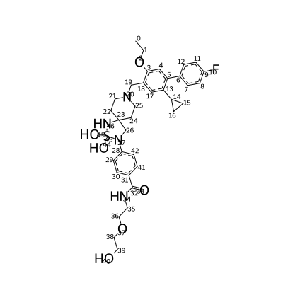 CCOc1cc(-c2ccc(F)cc2)c(C2CC2)cc1CN1CCC2(CC1)CN(c1ccc(C(=O)NCCOCCO)cc1)S(O)(O)N2